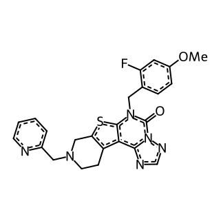 COc1ccc(Cn2c(=O)n3ncnc3c3c4c(sc32)CN(Cc2ccccn2)CC4)c(F)c1